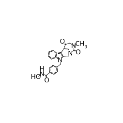 CN1CC(=O)C2CN(Cc3c2c2ccccc2n3Cc2ccc(C(=O)NO)cc2)C1=O